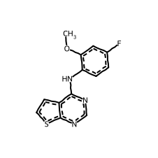 COc1cc(F)ccc1Nc1ncnc2sccc12